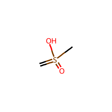 C=S(C)(=O)O